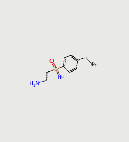 CC(C)Cc1ccc(S(=N)(=O)CCN)cc1